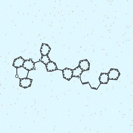 C(=C/c1ccc2ccccc2c1)/C=C/n1c2ccccc2c2cc(-c3ccc4c(c3)c3ccccc3n4-c3nc4c5c(cccc5n3)Oc3ccccc3-4)ccc21